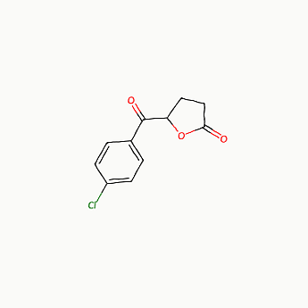 O=C1CCC(C(=O)c2ccc(Cl)cc2)O1